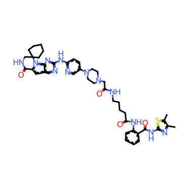 Cc1nc(NC(=O)c2ccccc2NC(=O)CCCCNC(=O)CN2CCN(c3ccc(Nc4ncc5cc6n(c5n4)C4(CCCCC4)CNC6=O)nc3)CC2)sc1C